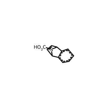 O=C(O)N1C2C=CC1c1ccccc12